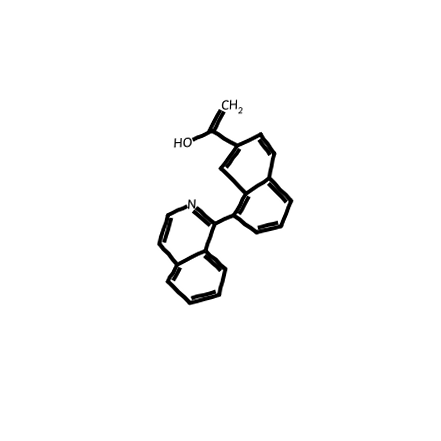 C=C(O)c1ccc2cccc(-c3nccc4ccccc34)c2c1